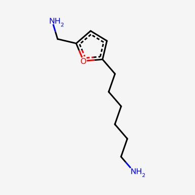 NCCCCCCc1ccc(CN)o1